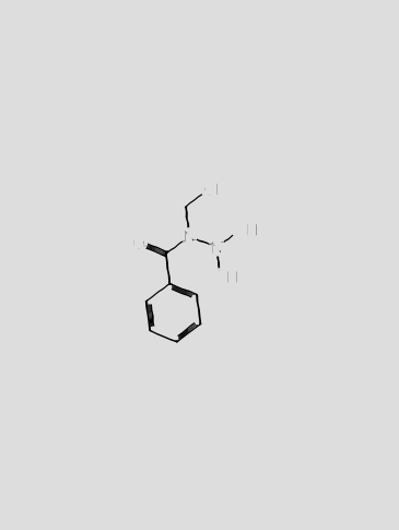 CCN(C(=O)c1c[c][c]cc1)N(C)C